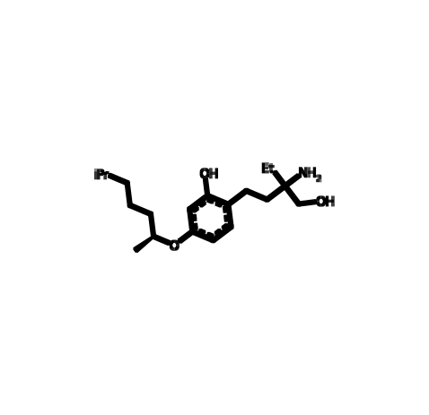 CCC(N)(CO)CCc1ccc(O[C@@H](C)CCCC(C)C)cc1O